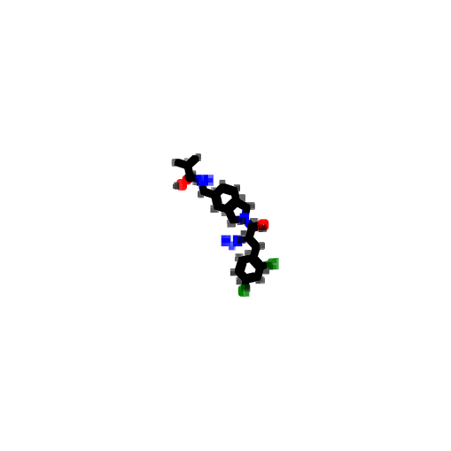 CC(C)C(=O)NCc1ccc2c(c1)CN(C(=O)[C@H](N)Cc1ccc(Cl)cc1Cl)C2